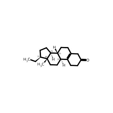 CC[C@H]1CC[C@H]2[C@@H]3CCC4=C(CCC(=O)C4)[C@H]3CC[C@]12C